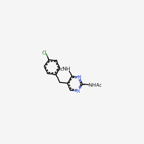 CC(=O)Nc1ncc(Cc2ccc(Cl)cc2)c(NC(C)=O)n1